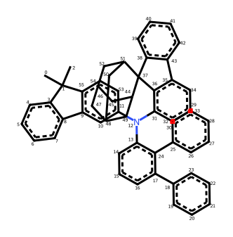 CC1(C)c2ccccc2-c2cc(N(c3cccc(-c4ccccc4)c3-c3ccccc3)c3cccc4c3C3(c5ccccc5-4)C4CC5CC(C4)CC3C5)ccc21